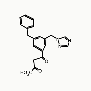 O=C(O)C(=O)CC(=O)c1cc(Cc2ccccc2)cc(Cn2cncn2)c1